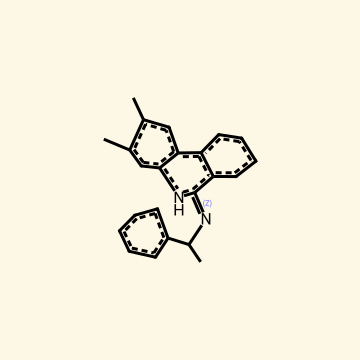 Cc1cc2[nH]/c(=N\C(C)c3ccccc3)c3ccccc3c2cc1C